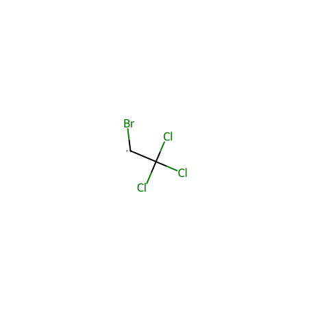 ClC(Cl)(Cl)[CH]Br